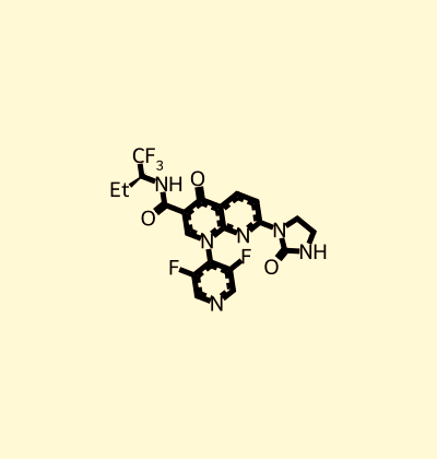 CC[C@H](NC(=O)c1cn(-c2c(F)cncc2F)c2nc(N3CCNC3=O)ccc2c1=O)C(F)(F)F